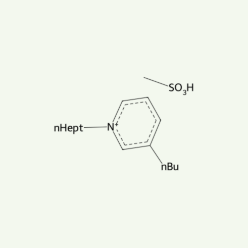 CCCCCCC[n+]1cccc(CCCC)c1.CS(=O)(=O)O